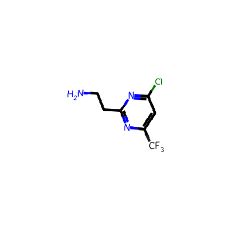 NCCc1nc(Cl)cc(C(F)(F)F)n1